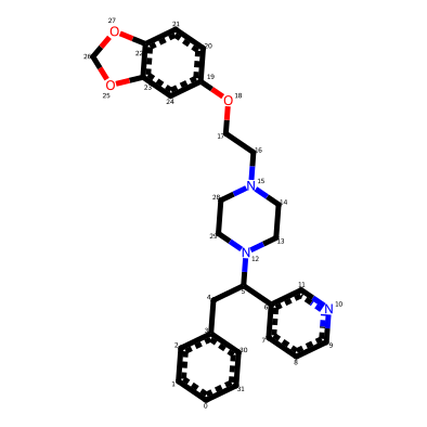 c1ccc(CC(c2cccnc2)N2CCN(CCOc3ccc4c(c3)OCO4)CC2)cc1